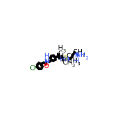 C=C(CCC(C)(C)NS/C(=C/C=C(\CC)C1=CC=CC(CNC(=O)CC2=CCC=C(Cl)C=C2)=CC1)CC)NN